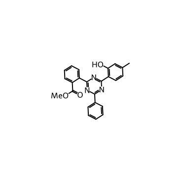 COC(=O)c1ccccc1-c1nc(-c2ccccc2)nc(-c2ccc(C)cc2O)n1